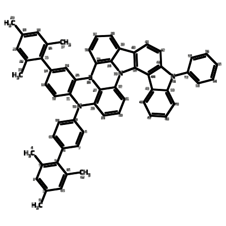 Cc1cc(C)c(-c2ccc(N3c4ccc(-c5c(C)cc(C)cc5C)cc4B4c5c3cccc5-n3c5c4cccc5c4ccc5c(c6ccccc6n5-c5ccccc5)c43)cc2)c(C)c1